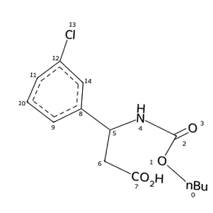 CCCCOC(=O)NC(CC(=O)O)c1cccc(Cl)c1